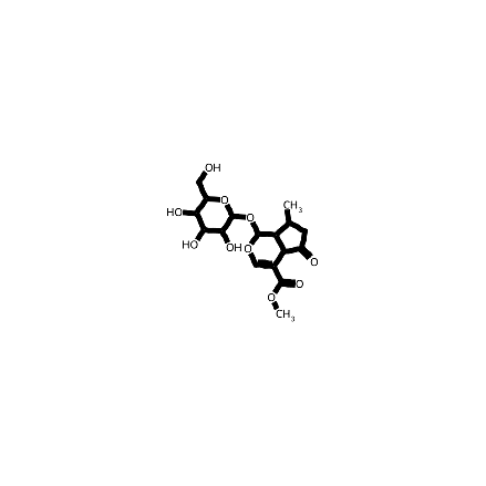 COC(=O)C1=COC(OC2OC(CO)C(O)C(O)C2O)C2C(C)CC(=O)C12